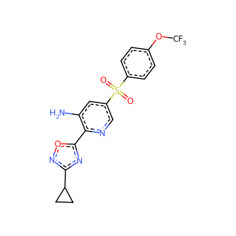 Nc1cc(S(=O)(=O)c2ccc(OC(F)(F)F)cc2)cnc1-c1nc(C2CC2)no1